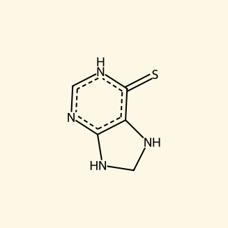 S=c1[nH]cnc2c1NCN2